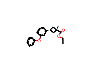 CCOC(=O)[C@]1(C)C[C@H](c2cccc(Oc3ccccc3)c2)C1